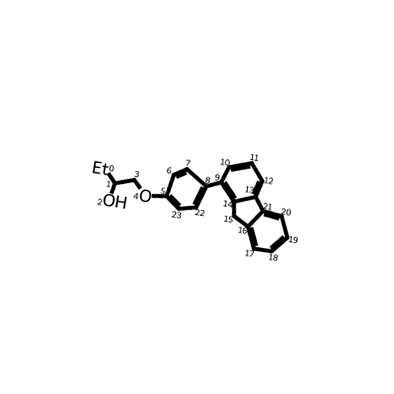 CCC(O)COc1ccc(-c2cccc3c2Cc2ccccc2-3)cc1